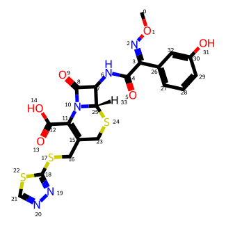 CON=C(C(=O)NC1C(=O)N2C(C(=O)O)=C(CSc3nncs3)CS[C@@H]12)c1cccc(O)c1